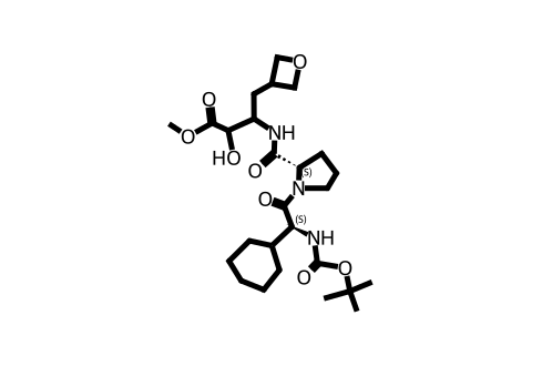 COC(=O)C(O)C(CC1COC1)NC(=O)[C@@H]1CCCN1C(=O)[C@@H](NC(=O)OC(C)(C)C)C1CCCCC1